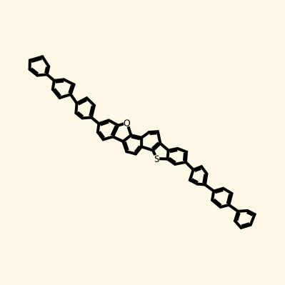 c1ccc(-c2ccc(-c3ccc(-c4ccc5c(c4)oc4c5ccc5c4ccc4c6ccc(-c7ccc(-c8ccc(-c9ccccc9)cc8)cc7)cc6sc45)cc3)cc2)cc1